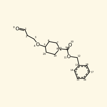 O=CCCOC1CCN(C(=O)OCc2ccccc2)CC1